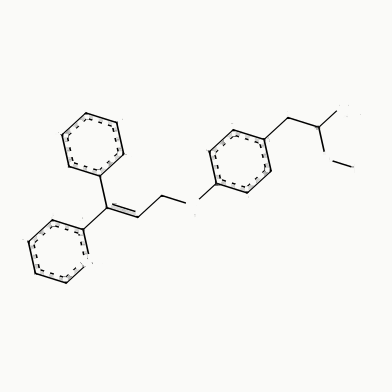 CCOC(Cc1ccc(OC/C=C(\c2ccccc2)c2ccccn2)cc1)C(=O)O